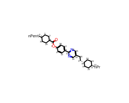 CCCCCC1CCC(C(=O)Oc2ccc(-c3ncc(CC[C@H]4CC[C@H](CCC)CC4)cn3)cc2)CC1